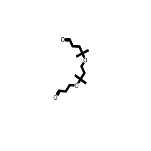 CC(C)(CCC=O)OCCC(C)(C)OCCC=O